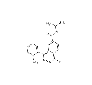 Cc1ccccc1-c1ncc(F)c2ccc(C(=O)N=C(N)N)cc12